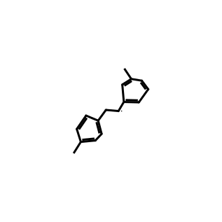 Cc1ccc(C[CH]c2cccc(C)c2)cc1